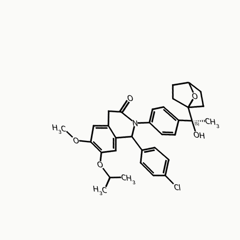 COc1cc2c(cc1OC(C)C)C(c1ccc(Cl)cc1)N(c1ccc([C@](C)(O)C34CCC(CC3)O4)cc1)C(=O)C2